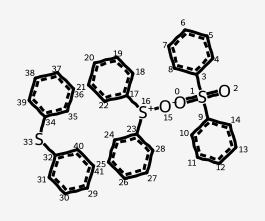 O=S(=O)(c1ccccc1)c1ccccc1.[O-][S+](c1ccccc1)c1ccccc1.c1ccc(Sc2ccccc2)cc1